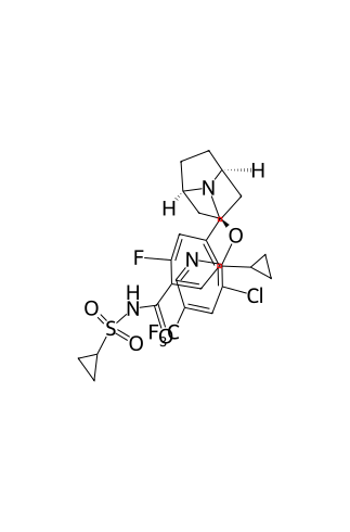 O=C(NS(=O)(=O)C1CC1)c1cc(C2CC2)c(CN2[C@@H]3CC[C@H]2C[C@@H](Oc2ncc(C(F)(F)F)cc2Cl)C3)cc1F